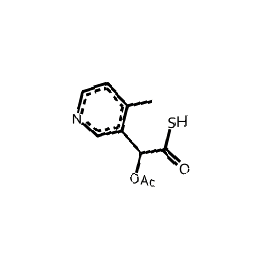 CC(=O)OC(C(=O)S)c1cnccc1C